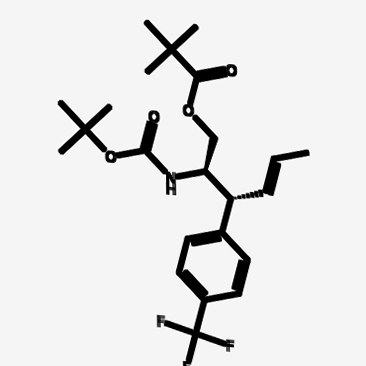 CC=C[C@H](c1ccc(C(F)(F)F)cc1)[C@H](COC(=O)C(C)(C)C)NC(=O)OC(C)(C)C